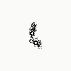 CCn1nnc2cc(C(=O)NCc3ccc(S(=O)(=O)N4CCOCC4)cc3)ccc21